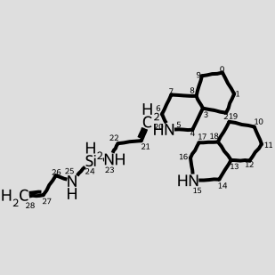 C1CCC2CNCCC2C1.C1CCC2CNCCC2C1.C=CCN[SiH2]NCC=C